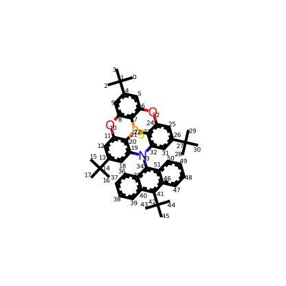 CC(C)(C)c1cc2c3c(c1)Oc1cc(C(C)(C)C)cc4c1P3(=S)c1c(cc(C(C)(C)C)cc1N4c1c3ccccc3c(C(C)(C)C)c3ccccc13)O2